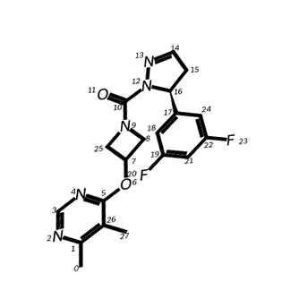 Cc1ncnc(OC2CN(C(=O)N3N=CC[C@H]3c3cc(F)cc(F)c3)C2)c1C